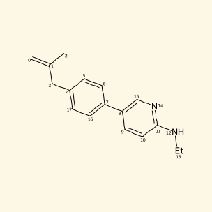 C=C(C)Cc1ccc(-c2ccc(NCC)nc2)cc1